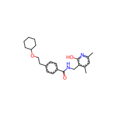 Cc1cc(C)c(CNC(=O)c2ccc(CCOC3CCCCC3)cc2)c(O)n1